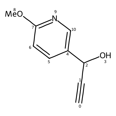 C#CC(O)c1ccc(OC)nc1